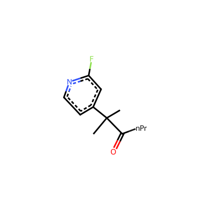 CCCC(=O)C(C)(C)c1ccnc(F)c1